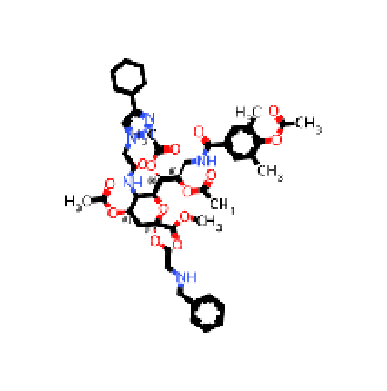 COC(=O)[C@@]1(OCCNCc2ccccc2)C[C@@H](OC(C)=O)C(NC(=O)Cn2cc(C3CCCCC3)nn2)C([C@H](OC(C)=O)[C@@H](CNC(=O)c2cc(C)c(OC(C)=O)c(C)c2)OC(C)=O)O1